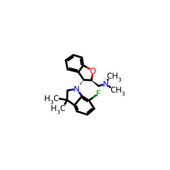 CN(C)C[C@@H]1Oc2ccccc2[C@H]1N1CC(C)(C)c2cccc(F)c21